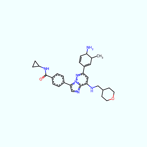 CC1C=C(c2cc(NCC3CCOCC3)c3ncc(-c4ccc(C(=O)NC5CC5)cc4)n3n2)C=CC1N